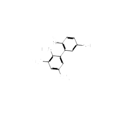 Cc1cc(C)c(N)c(-c2cc(N)ccc2N)c1